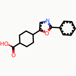 O=C(O)C1CCC(c2cnc(-c3ccccc3)o2)CC1